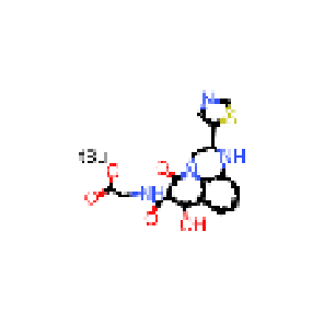 CC(C)(C)OC(=O)CNC(=O)c1c(O)c2cccc3c2n(c1=O)CC(c1cncs1)N3